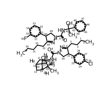 CCCCC1=NN(C(=O)N[C@@H]2C[C@@H]3C[C@H]([C@H]2C)C3(C)C)CC1c1ccc(Cl)cc1.CCCCCC1=NN(C(=O)NC(C)(C)c2ccccc2)CC1c1cccc(F)c1